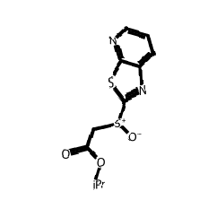 CC(C)OC(=O)C[S+]([O-])c1nc2cccnc2s1